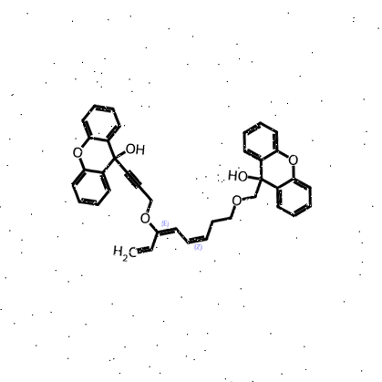 C=C/C(=C\C=C/CCOCC1(O)c2ccccc2Oc2ccccc21)OCC#CC1(O)c2ccccc2Oc2ccccc21